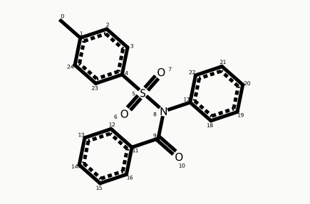 Cc1ccc(S(=O)(=O)N(C(=O)c2cc[c]cc2)c2ccccc2)cc1